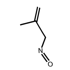 C=C(C)CN=O